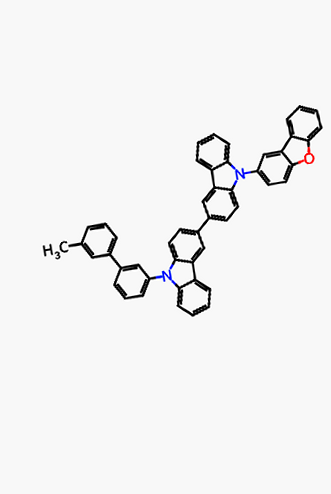 Cc1cccc(-c2cccc(-n3c4ccccc4c4cc(-c5ccc6c(c5)c5ccccc5n6-c5ccc6oc7ccccc7c6c5)ccc43)c2)c1